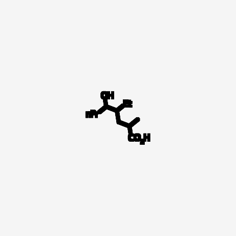 CCCC(O)C(CC)CC(C)C(=O)O